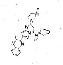 Cc1nc2ccccc2nc1-c1cc2nc(N3CC[C@@H](F)C3)cc(N[C@@H]3CCOC3)n2n1